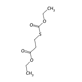 CCOC(=O)CCSC(=O)OCC